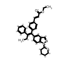 CCOC(=O)/C=C/c1ccc(/C(=C(/CC)c2ccccc2)c2ccc3c(cnn3C3CCCCO3)c2)cc1